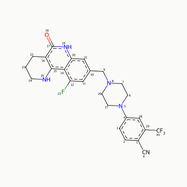 N#Cc1ccc(N2CCN(Cc3cc(F)c4c5c(c(=O)[nH]c4c3)CCCN5)CC2)cc1C(F)(F)F